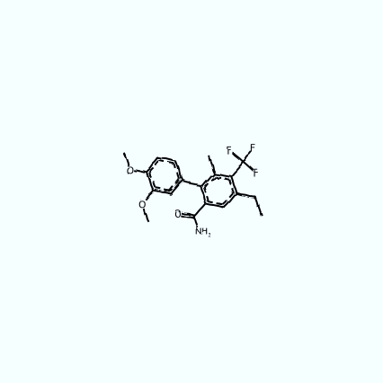 CCc1cc(C(N)=O)c(-c2ccc(OC)c(OC)c2)c(C)c1C(F)(F)F